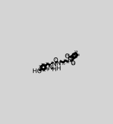 CN(C)[C@H](CNC(=O)NCCCCN1C(=O)c2c(c3ccc2o3)C1=O)Cc1ccc(O)cc1